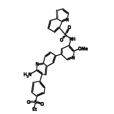 CCS(=O)(=O)c1ccc(-c2cc3cc(-c4cnc(OC)c(NS(=O)(=O)c5cccc6cccnc56)c4)ccc3nc2N)cc1